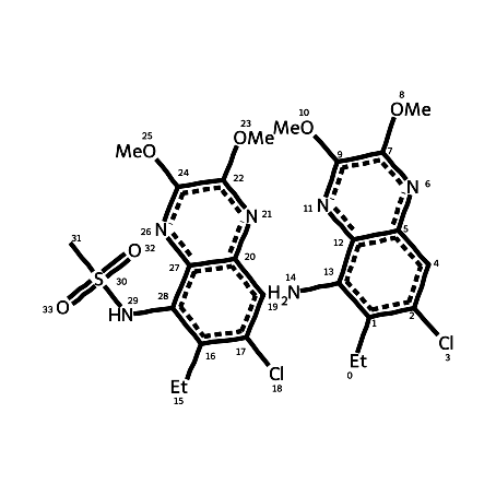 CCc1c(Cl)cc2nc(OC)c(OC)nc2c1N.CCc1c(Cl)cc2nc(OC)c(OC)nc2c1NS(C)(=O)=O